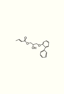 CC=CC(=O)OCC(O)COc1ccccc1-c1ccccc1